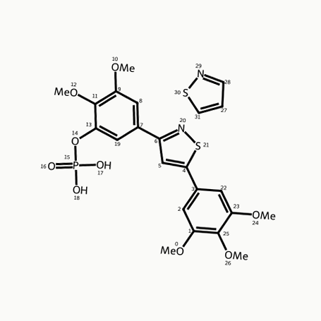 COc1cc(-c2cc(-c3cc(OC)c(OC)c(OP(=O)(O)O)c3)ns2)cc(OC)c1OC.c1cnsc1